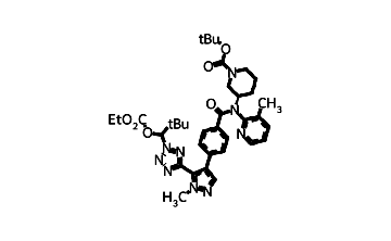 CCOC(=O)OC(n1nnc(-c2c(-c3ccc(C(=O)N(c4ncccc4C)[C@@H]4CCCN(C(=O)OC(C)(C)C)C4)cc3)cnn2C)n1)C(C)(C)C